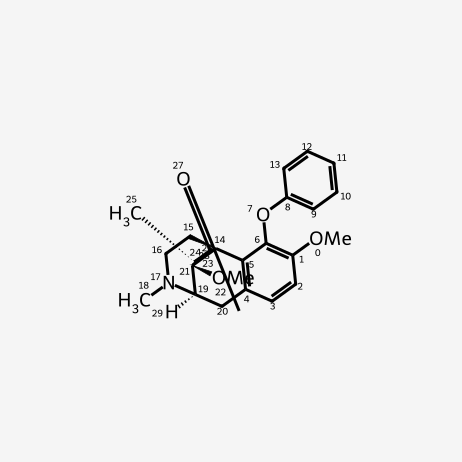 COc1ccc2c(c1Oc1ccccc1)[C@]13CCN(C)[C@H](C2)[C@]1(OC)C[C@H](C)C(=O)C3